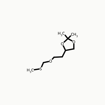 CSCOCCC1COC(C)(C)O1